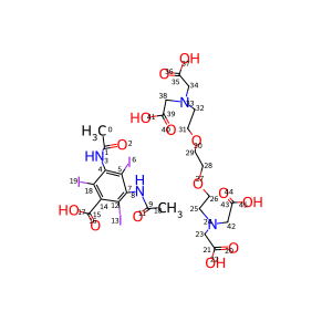 CC(=O)Nc1c(I)c(NC(C)=O)c(I)c(C(=O)O)c1I.O=C(O)CN(CCOCCOCCN(CC(=O)O)CC(=O)O)CC(=O)O